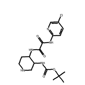 CC(C)(C)OC(=O)NC1CNCCC1NC(=O)C(=O)Nc1ccc(Cl)cn1